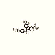 Cc1c(CC(=O)NC(C)C)c2c(F)c(O)ccc2n1C(=O)c1ccc(OC(F)(F)F)cc1